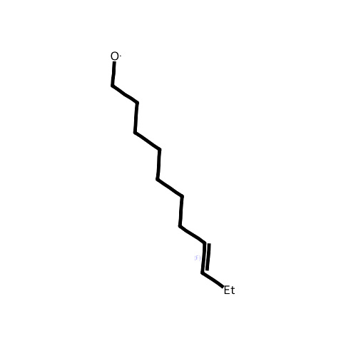 CC/C=C/CCCCCCC[O]